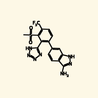 CS(=O)(=O)c1c(C(F)(F)F)ccc(-c2ccc3c(N)n[nH]c3c2)c1-c1nnn[nH]1